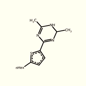 CCCCCCc1ccc(C2=NC(C)NC(C)=N2)s1